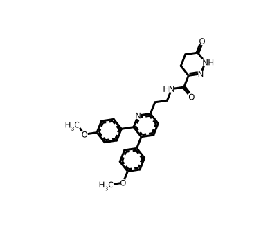 COc1ccc(-c2ccc(CCNC(=O)C3=NNC(=O)CC3)nc2-c2ccc(OC)cc2)cc1